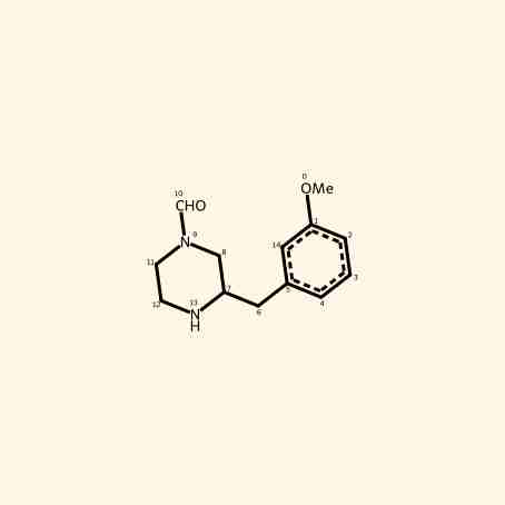 COc1cccc(CC2CN(C=O)CCN2)c1